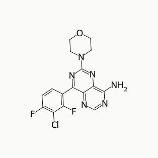 Nc1ncnc2c(-c3ccc(F)c(Cl)c3F)nc(N3CCOCC3)nc12